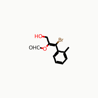 Cc1ccccc1/C(Br)=C(/CO)OC=O